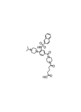 CC(C)N1CCN(c2ccc(C(=O)N3CCN(C(=O)CCCC(=O)O)CC3)cc2NS(=O)(=O)c2ccc3ccccc3c2)CC1